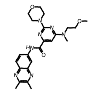 COCCN(C)c1cc(C(=O)Nc2ccc3nc(C)c(C)nc3c2)nc(N2CCOCC2)n1